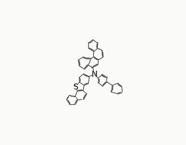 c1ccc(-c2ccc(N(c3ccc4sc5c6ccccc6ccc5c4c3)c3cc4ccc5ccccc5c4c4ccccc34)cc2)cc1